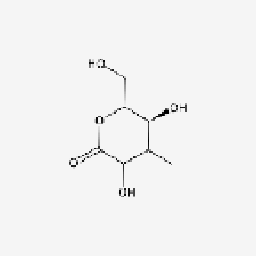 CC1C(O)C(=O)OC(CO)[C@H]1O